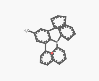 Cc1cc(-c2ccccc2)c(P(c2ccccc2)c2ccccc2)c(-c2ccccc2)c1